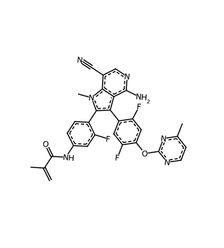 C=C(C)C(=O)Nc1ccc(-c2c(-c3cc(F)c(Oc4nccc(C)n4)cc3F)c3c(N)ncc(C#N)c3n2C)c(F)c1